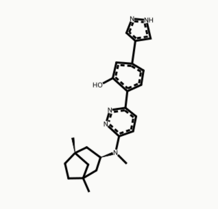 CN(c1ccc(-c2ccc(-c3cn[nH]c3)cc2O)nn1)[C@H]1CC2(C)CC[C@](C)(C1)C2